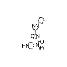 CC(C)N(C(=O)c1coc(-c2cnn(-c3ccccc3)c2)n1)C1CCNCC1